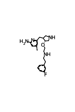 Cc1cc(N)nc(CC2CNC[C@@H]2OCCNCCc2cccc(F)c2)c1